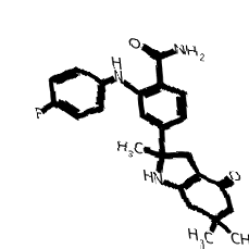 CC1(C)CC(=O)C2=C(C1)NC(C)(c1ccc(C(N)=O)c(Nc3ccc(F)cc3)c1)C2